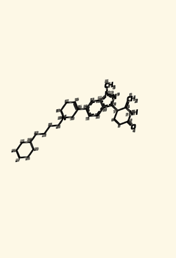 C=C1NC(=O)CCC1c1nn(C)c2cc(C3=CCCN(CCCCC4CCCCC4)C3)ccc12